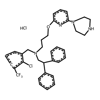 Cl.FC(F)(F)c1cccc(CN(CCCOc2cccc(N3CCNCC3)n2)CC(c2ccccc2)c2ccccc2)c1Cl